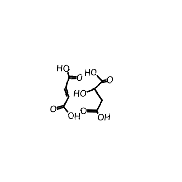 O=C(O)C=CC(=O)O.O=C(O)CC(O)C(=O)O